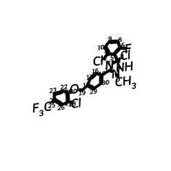 CN1NC(Cl)(c2c(F)cccc2Cl)N=C1c1ccc(COc2ccc(C(F)(F)F)cc2Cl)cc1